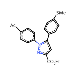 CCOC(=O)c1cc(-c2ccc(SC)cc2)n(-c2ccc(C(C)=O)cc2)n1